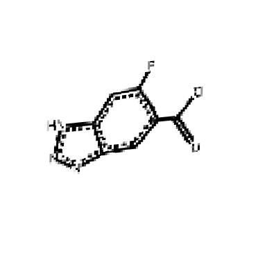 O=C(Cl)c1cc2nn[nH]c2cc1F